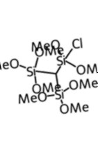 CO[Si](Cl)(OC)C([Si](OC)(OC)OC)[Si](OC)(OC)OC